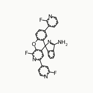 NC1=NC2(c3cc(-c4cccnc4F)ccc3Oc3c2cc(-c2ccnc(F)c2)nc3F)c2ccccc21